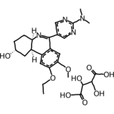 CCOc1cc2c(cc1OC)C(c1cnc(N(C)C)nc1)=N[C@@H]1CC[C@@H](O)C[C@H]21.O=C(O)C(O)C(O)C(=O)O